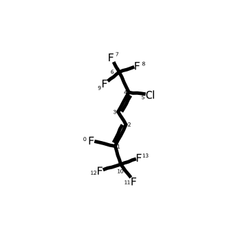 FC(=CC=C(Cl)C(F)(F)F)C(F)(F)F